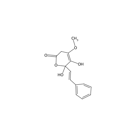 COC1=C(O)C(O)(C=Cc2ccccc2)OC(=O)C1